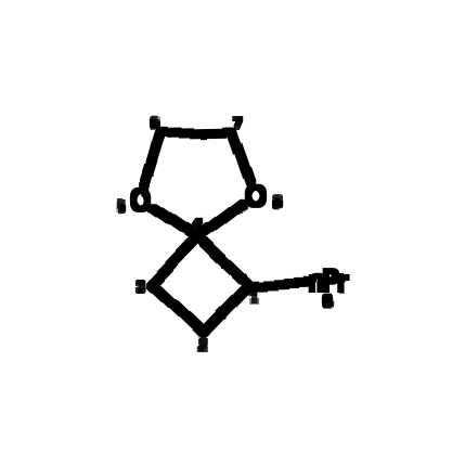 CCCC1CCC12OCCO2